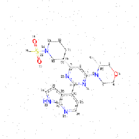 C[C@@H]1COCCN1c1cc([C@H]2CCCN(S(C)(=O)=O)C2)nc(-c2ccnc3[nH]ccc23)n1